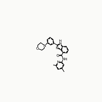 Cc1cc(C)nc(NC(=O)c2cccc3[nH]c(-c4cccc(N5CCOCC5)c4)nc23)c1